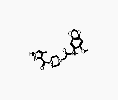 COc1cc2c(cc1NC(=O)CN1CCN(C(=O)c3n[nH]cc3C)CC1)OCO2